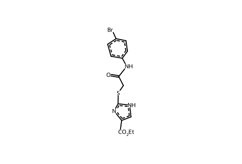 CCOC(=O)c1c[nH]c(SCC(=O)Nc2ccc(Br)cc2)n1